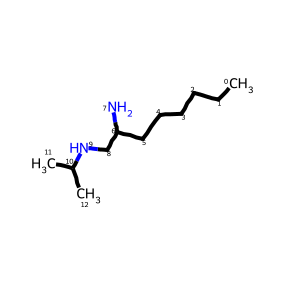 CCCCCCC(N)CNC(C)C